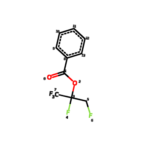 O=C(OC(F)(CF)C(F)(F)F)c1ccccc1